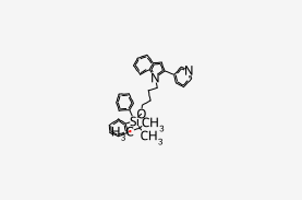 CC(C)(C)[Si](OCCCCn1c(-c2cccnc2)cc2ccccc21)(c1ccccc1)c1ccccc1